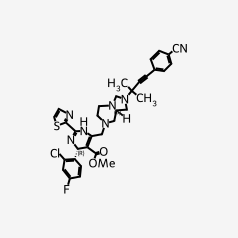 COC(=O)C1=C(CN2CCN3CN(C(C)(C)C#Cc4ccc(C#N)cc4)C[C@@H]3C2)NC(c2nccs2)=N[C@H]1c1ccc(F)cc1Cl